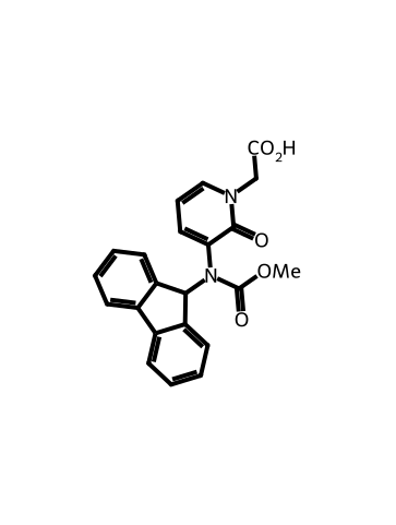 COC(=O)N(c1cccn(CC(=O)O)c1=O)C1c2ccccc2-c2ccccc21